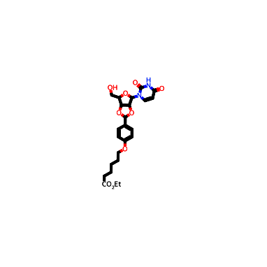 CCOC(=O)CCCCCOc1ccc(C2OC3C(CO)OC(n4ccc(=O)[nH]c4=O)C3O2)cc1